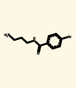 CC(=O)c1ccc(C(=O)NCCCN)cc1